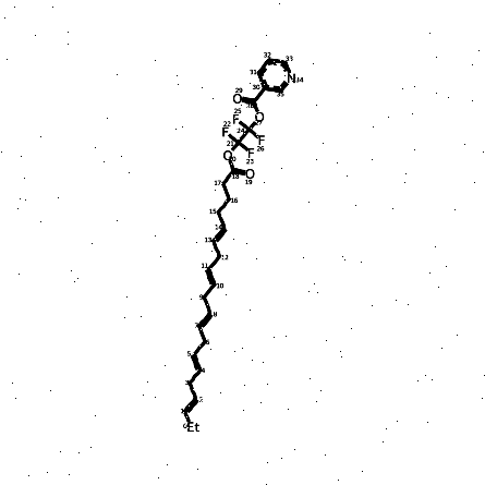 CCC=CCC=CCC=CCC=CCC=CCCCC(=O)OC(F)(F)C(F)(F)OC(=O)c1cccnc1